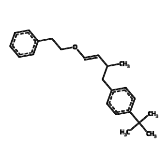 CC(C=COCCc1ccccc1)Cc1ccc(C(C)(C)C)cc1